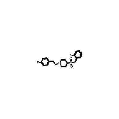 O=S(=O)(Cc1ccccc1F)C1CCN(CCc2ccc(F)cc2)CC1